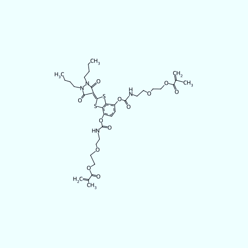 C=C(C)C(=O)OCCOCCNC(=O)Oc1ccc(OC(=O)NCCOCCOC(=O)C(=C)C)c2c1SC(=C1C(=O)N(CCCC)N(CCCC)C1=O)S2